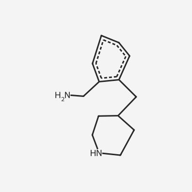 NCc1ccccc1CC1CCNCC1